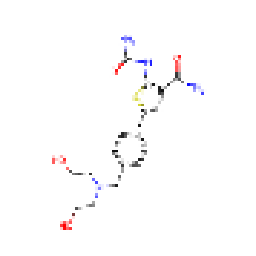 NC(=O)Nc1sc(-c2ccc(CN(CCO)CCO)cc2)cc1C(N)=O